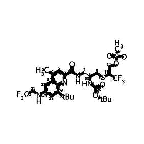 Cc1cc(C(=O)NC[C@H](CSC(COS(C)(=O)=O)C(F)(F)F)NC(=O)OC(C)(C)C)nc2c(C(C)(C)C)cc(NCC(F)(F)F)cc12